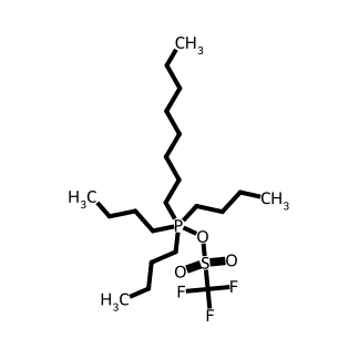 CCCCCCCCP(CCCC)(CCCC)(CCCC)OS(=O)(=O)C(F)(F)F